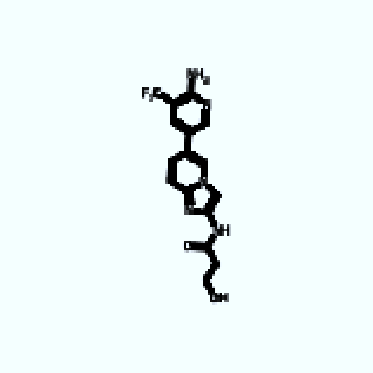 Nc1ncc(-c2ccc3nc(NC(=O)CCO)cn3c2)cc1C(F)(F)F